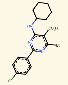 CCc1nc(-c2ccc(Cl)cc2)nc(NC2CCCCC2)c1C(=O)O